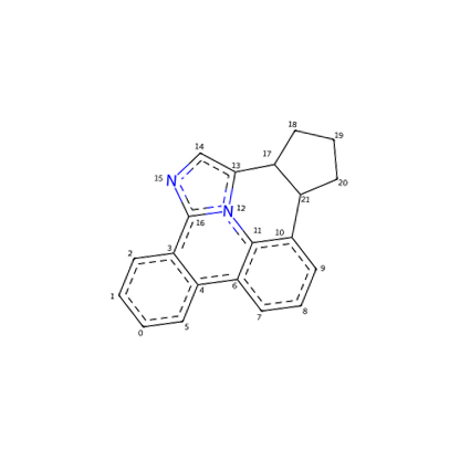 c1ccc2c(c1)c1cccc3c1n1c(cnc21)C1CCCC31